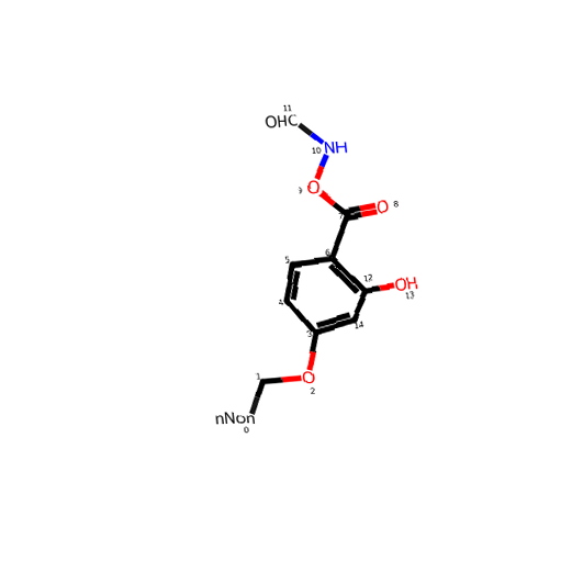 CCCCCCCCCCOc1ccc(C(=O)ONC=O)c(O)c1